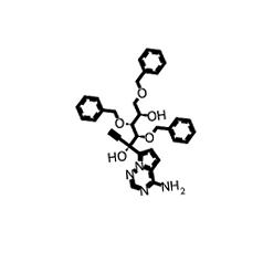 C#C[C@](O)(c1ccc2c(N)ncnn12)[C@H](OCc1ccccc1)[C@H](OCc1ccccc1)[C@H](O)COCc1ccccc1